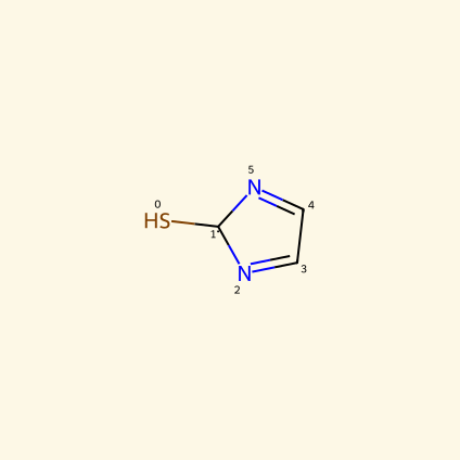 S[C]1N=CC=N1